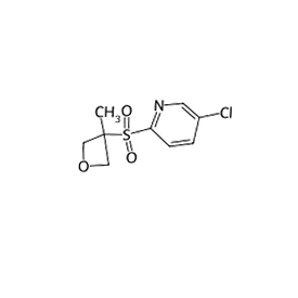 CC1(S(=O)(=O)c2ccc(Cl)cn2)COC1